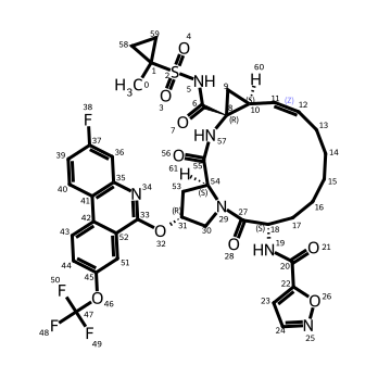 CC1(S(=O)(=O)NC(=O)[C@@]23C[C@H]2/C=C\CCCCC[C@H](NC(=O)c2ccno2)C(=O)N2C[C@H](Oc4nc5cc(F)ccc5c5ccc(OC(F)(F)F)cc45)C[C@H]2C(=O)N3)CC1